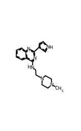 CN1CCN(CCNc2nc(-c3cc[nH]c3)nc3ccccc23)CC1